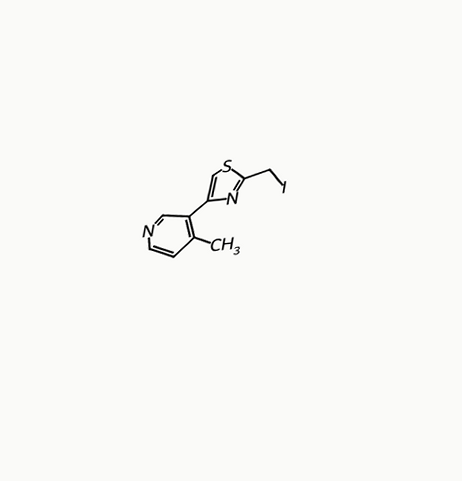 Cc1ccncc1-c1csc(CI)n1